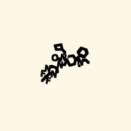 CCN(C)[C@]1(c2ccccc2)CC[C@]2(CC1)CN(c1cnc(C(C)(F)F)nc1)C(=O)N2CC1CCC1